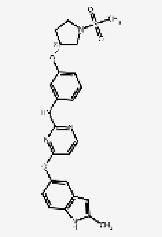 Cc1cc2cc(Oc3ccnc(Nc4cccc(O[C@@H]5CCN(S(C)(=O)=O)C5)c4)n3)ccc2[nH]1